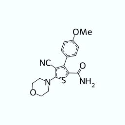 COc1ccc(-c2c(C(N)=O)sc(N3CCOCC3)c2C#N)cc1